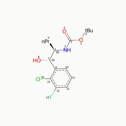 CCC[C@@H](NC(=O)OC(C)(C)C)[C@@H](O)c1cccc(F)c1Cl